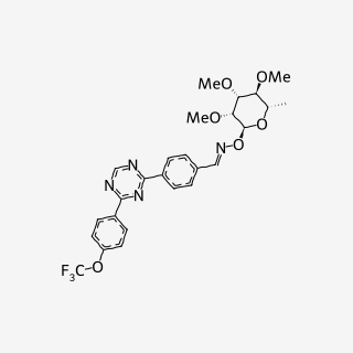 CO[C@@H]1[C@@H](OC)[C@H](C)O[C@@H](O/N=C/c2ccc(-c3ncnc(-c4ccc(OC(F)(F)F)cc4)n3)cc2)[C@@H]1OC